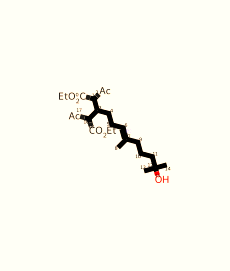 CCOC(=O)C(C(C)=O)C(CC/C=C(\C)CCCC(C)(C)O)C(C(C)=O)C(=O)OCC